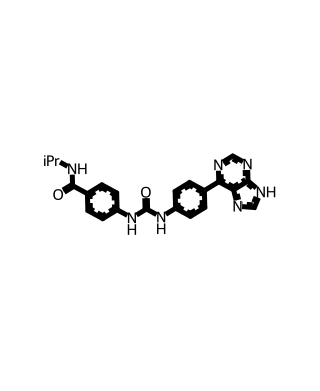 CC(C)NC(=O)c1ccc(NC(=O)Nc2ccc(-c3ncnc4[nH]cnc34)cc2)cc1